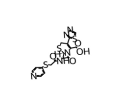 O=C(CSc1ccncc1)NC1C(=O)N2C(C(=O)O)=C(c3nncs3)CS[C@H]12